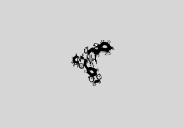 O=C(N[C@H](CN1CCCC1)[C@H](O)c1ccc2c(c1)OCCO2)c1cc2ccccc2s1